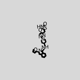 O=C1NC(=O)/C(=C\c2ccnc(N3CCC(CNCc4nc(-c5ccco5)cc5ccccc45)CC3)n2)S1